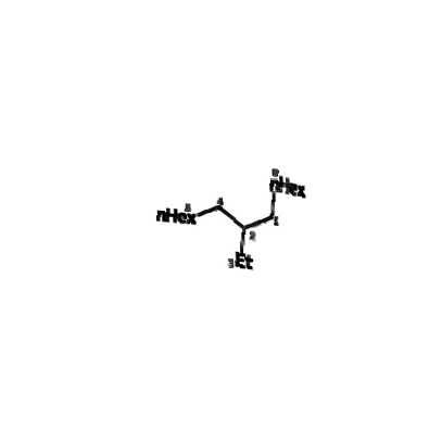 [CH2]CCCCCCC(CC)CCCCCCC